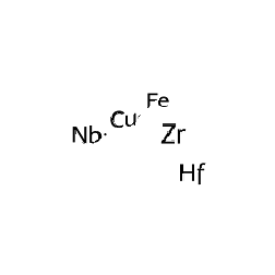 [Cu].[Fe].[Hf].[Nb].[Zr]